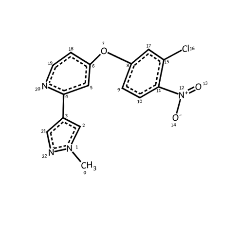 Cn1cc(-c2cc(Oc3ccc([N+](=O)[O-])c(Cl)c3)ccn2)cn1